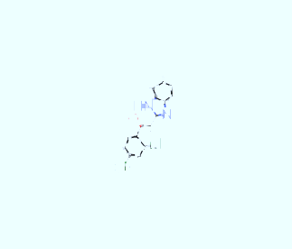 O=C(Cc1nc2ccccc2[nH]1)c1ccc(Cl)cc1Cl